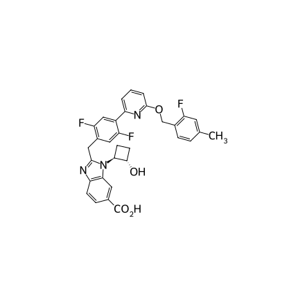 Cc1ccc(COc2cccc(-c3cc(F)c(Cc4nc5ccc(C(=O)O)cc5n4[C@H]4CC[C@@H]4O)cc3F)n2)c(F)c1